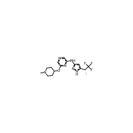 C[C@H](c1cc(Nc2cncc(OC3CCN(C)CC3)n2)n[nH]1)C(F)(F)F